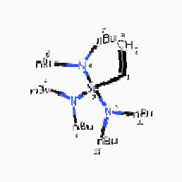 C=C[Si](N(CCCC)CCCC)(N(CCCC)CCCC)N(CCCC)CCCC